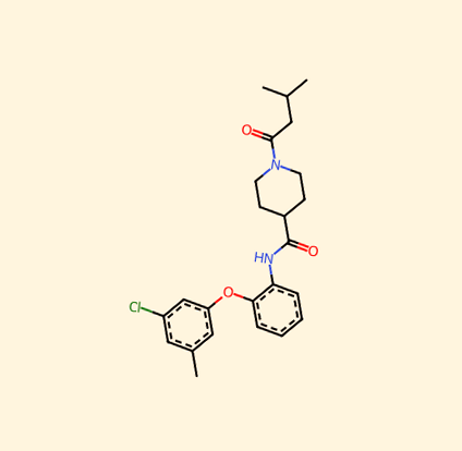 Cc1cc(Cl)cc(Oc2ccccc2NC(=O)C2CCN(C(=O)CC(C)C)CC2)c1